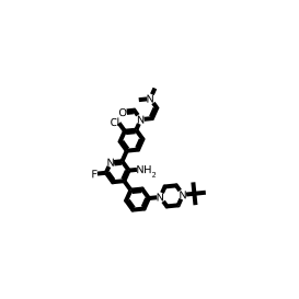 CN(C)/C=C\N(C=O)c1ccc(-c2nc(F)cc(-c3cccc(N4CCN(C(C)(C)C)CC4)c3)c2N)cc1Cl